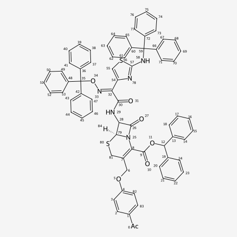 CC(=O)c1ccc(OCC2=C(C(=O)OC(c3ccccc3)c3ccccc3)N3C(=O)C(NC(=O)C(=NOC(c4ccccc4)(c4ccccc4)c4ccccc4)c4csc(NC(c5ccccc5)(c5ccccc5)c5ccccc5)n4)[C@@H]3SC2)cc1